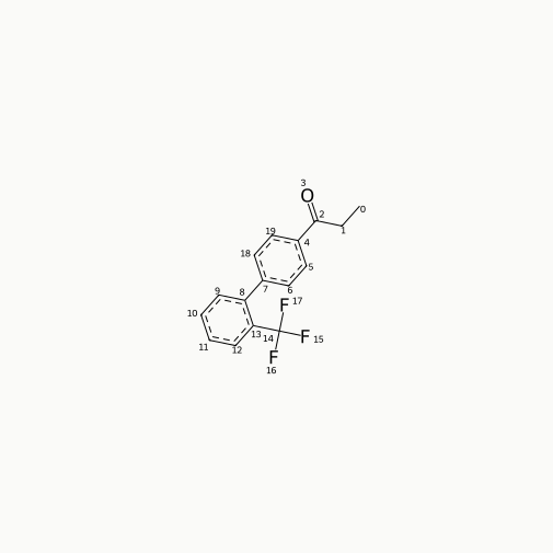 CCC(=O)c1ccc(-c2ccccc2C(F)(F)F)cc1